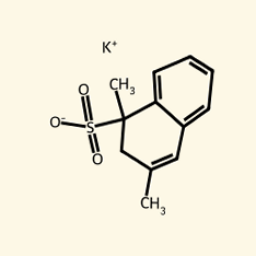 CC1=Cc2ccccc2C(C)(S(=O)(=O)[O-])C1.[K+]